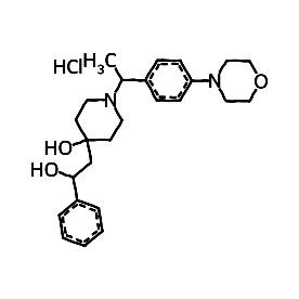 CC(c1ccc(N2CCOCC2)cc1)N1CCC(O)(CC(O)c2ccccc2)CC1.Cl